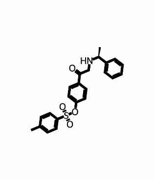 Cc1ccc(S(=O)(=O)Oc2ccc(C(=O)CN[C@@H](C)c3ccccc3)cc2)cc1